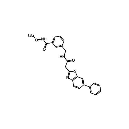 CC(C)(C)ONC(=O)c1cccc(CNC(=O)Cc2nc3ccc(-c4ccccc4)cc3s2)c1